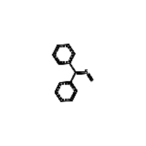 C=S=C(c1ccccc1)c1ccccc1